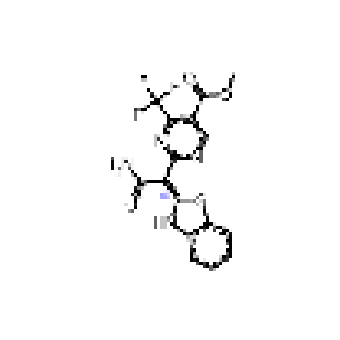 COC(=O)c1cnc(/C(C(N)=O)=C2/Nc3ccccc3S2)nc1C(F)(F)F